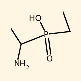 CCP(=O)(O)C(C)N